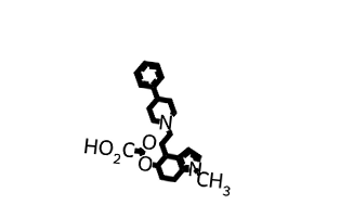 Cn1ccc2c1CCC(OC(=O)C(=O)O)C2CCN1CCC(c2ccccc2)CC1